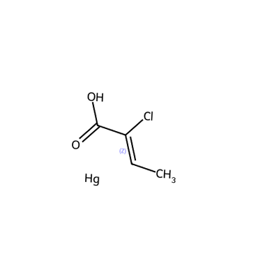 C/C=C(\Cl)C(=O)O.[Hg]